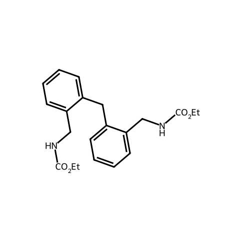 CCOC(=O)NCc1ccccc1Cc1ccccc1CNC(=O)OCC